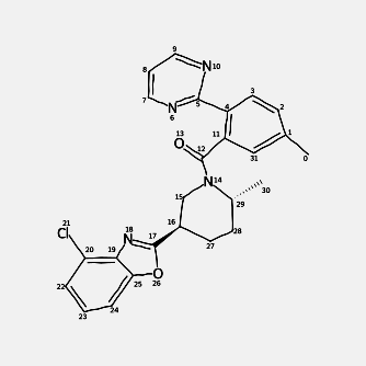 Cc1ccc(-c2ncccn2)c(C(=O)N2C[C@H](c3nc4c(Cl)cccc4o3)CC[C@H]2C)c1